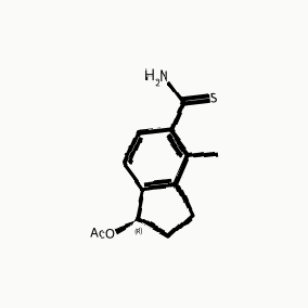 CC(=O)O[C@@H]1CCc2c1ccc(C(N)=S)c2C